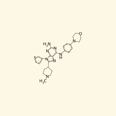 CN1CCC(c2nc3c(Nc4ccc(N5CCOCC5)cc4)nc(N)nc3n2-c2ccsc2)CC1